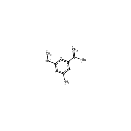 C=C(CCCC)c1cc(N)cc(BC)c1